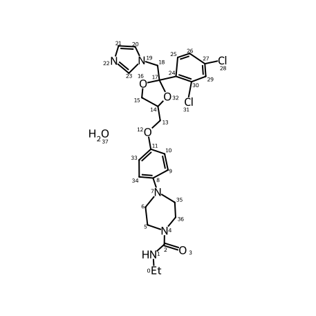 CCNC(=O)N1CCN(c2ccc(OCC3COC(Cn4ccnc4)(c4ccc(Cl)cc4Cl)O3)cc2)CC1.O